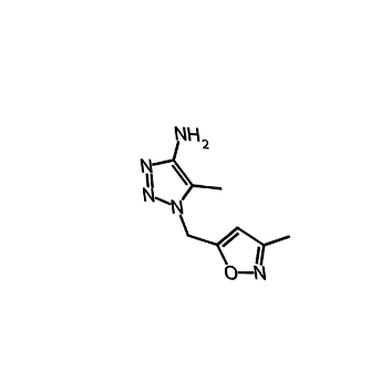 Cc1cc(Cn2nnc(N)c2C)on1